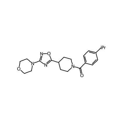 CC(C)c1ccc(C(=O)N2CCC(c3nc(N4CCOCC4)no3)CC2)cc1